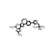 Cc1nc(-c2cn3c(n2)-c2ccc(-c4cnn(CC(C)(C)O)c4)cc2OCC3)n(C(C)C)n1